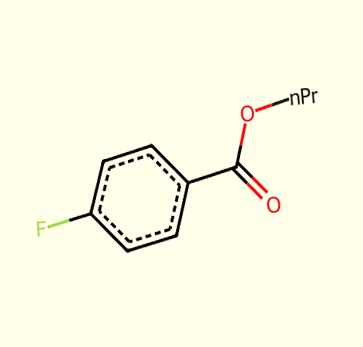 CCCOC(=O)c1ccc(F)cc1